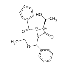 CCOC(c1ccccc1)N1C(=O)[C@H](C(C)O)[C@H]1C(=O)c1ccccc1